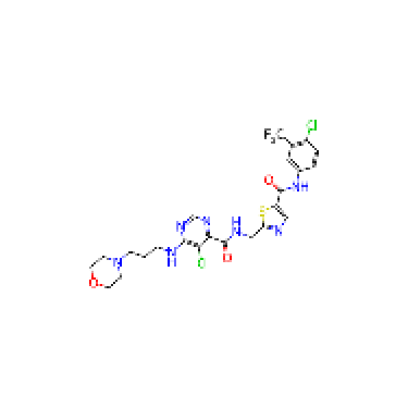 O=C(Nc1ccc(Cl)c(C(F)(F)F)c1)c1cnc(CNC(=O)c2ncnc(NCCCN3CCOCC3)c2Cl)s1